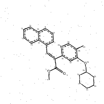 COC(=O)/C(=C/c1cccc2ccccc12)c1cc(OC2CCCCC2)c(C)cn1